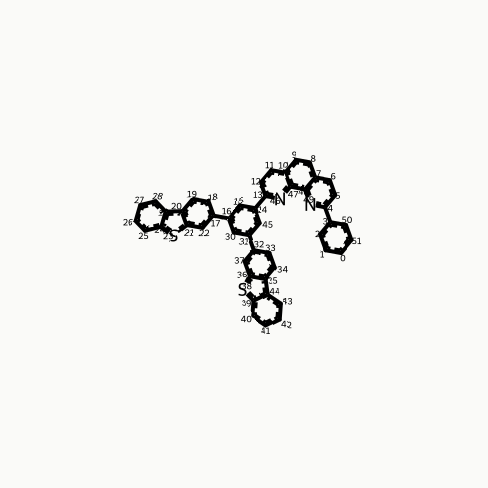 c1ccc(-c2ccc3ccc4ccc(-c5cc(-c6ccc7c(c6)sc6ccccc67)cc(-c6ccc7c(c6)sc6ccccc67)c5)nc4c3n2)cc1